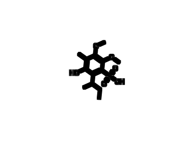 CCC(C)c1c(O)c(C)c(OC)c(OC)c1S(=O)(=O)O